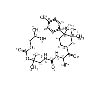 CC(O)COC(=O)OC(C)(C)CNC(=O)NC(C(=O)N1CCC(O)(c2ccc(Cl)cc2)C(C)(C)C1)C(C)C